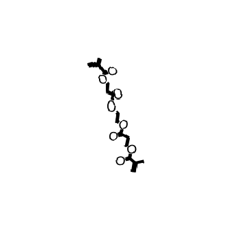 C=C(C)C(=O)OCCC(=O)OCCOC(=O)CCOC(=O)C(=C)C